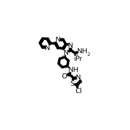 CC(C)[C@H](N)c1nc2cnc(-c3ccccn3)cc2n1[C@@H]1CCC[C@H](NC(=O)c2ncc(Cl)s2)C1